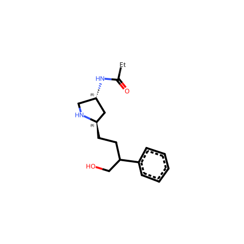 CCC(=O)N[C@H]1CN[C@H](CCC(CO)c2ccccc2)C1